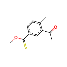 COC(=S)c1ccc(C)c(C(C)=O)c1